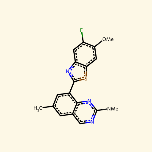 CNc1ncc2cc(C)cc(-c3nc4cc(F)c(OC)cc4s3)c2n1